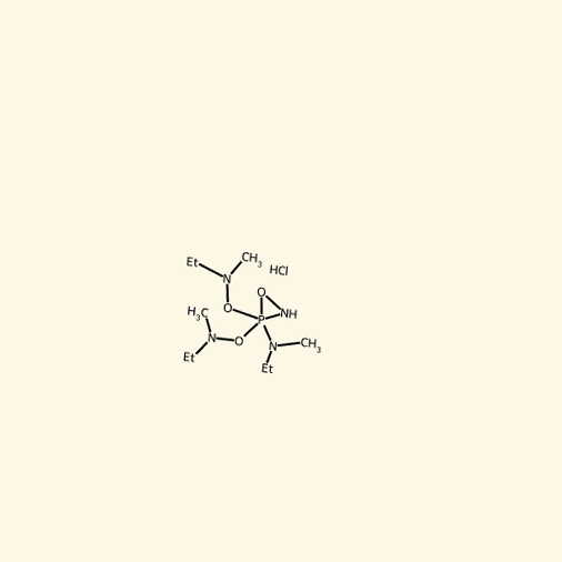 CCN(C)OP1(ON(C)CC)(N(C)CC)NO1.Cl